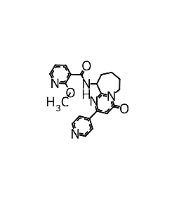 COc1ncccc1C(=O)NC1CCCCn2c1nc(-c1ccncc1)cc2=O